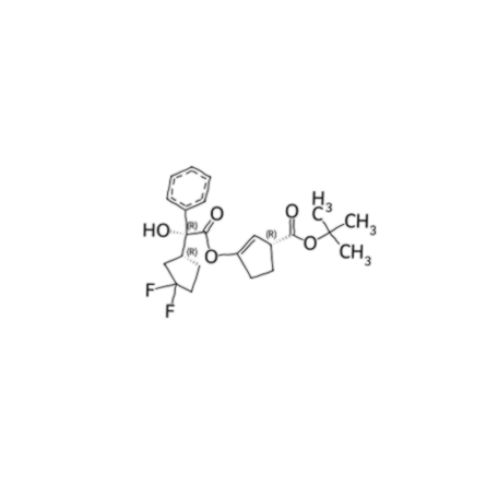 CC(C)(C)OC(=O)[C@H]1C=C(OC(=O)[C@](O)(c2ccccc2)[C@@H]2CCC(F)(F)C2)CC1